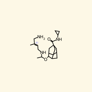 C/C(=C\CNC(C)OC1C2CC3CC1CC(C(=O)NC1CC1)(C3)C2)CN